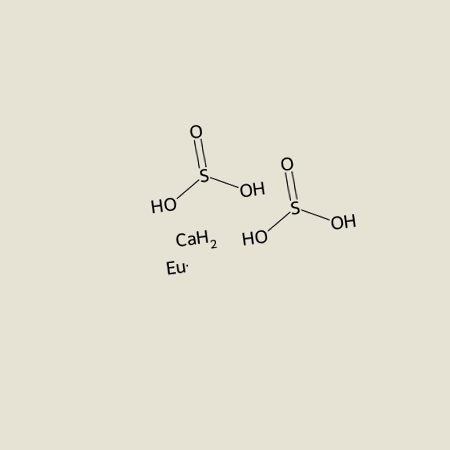 O=S(O)O.O=S(O)O.[CaH2].[Eu]